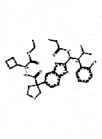 CCNC(=O)[C@H](NC(=O)C1(c2ccc3nc([C@@H](NC(=O)CC)[C@H](c4ccccc4Cl)C(C)C)[nH]c3c2)CCOC1)C1CCC1